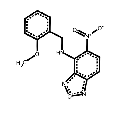 COc1ccccc1CNc1c([N+](=O)[O-])ccc2nonc12